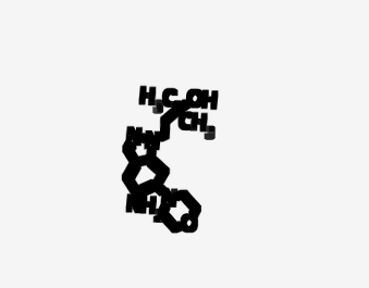 CC(C)(O)CCn1ncc2cc(N)c(N3CCOCC3)cc21